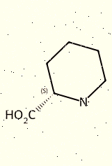 O=C(O)[C@@H]1CCCC[N]1